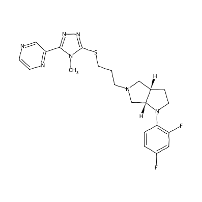 Cn1c(SCCCN2C[C@@H]3CCN(c4ccc(F)cc4F)[C@@H]3C2)nnc1-c1cnccn1